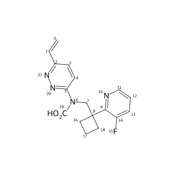 C=Cc1ccc(N(CC2(c3ncccc3F)CCC2)C(=O)O)nn1